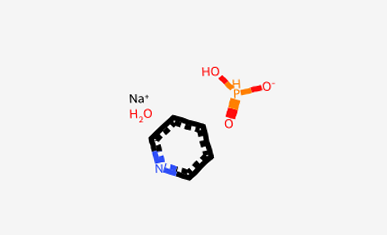 O.O=[PH]([O-])O.[Na+].c1ccncc1